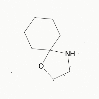 [CH]1CNC2(CCCCC2)O1